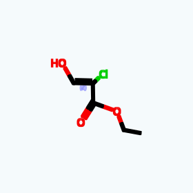 CCOC(=O)/C(Cl)=C/O